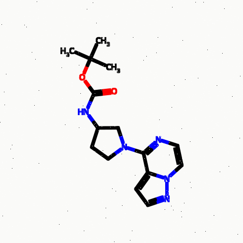 CC(C)(C)OC(=O)NC1CCN(c2nccn3nccc23)C1